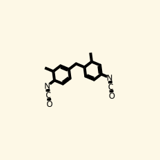 CC1C=C(N=C=O)C=CC1CC1=CC(C)C(N=C=O)C=C1